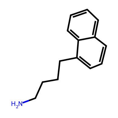 NCCCCc1cccc2ccccc12